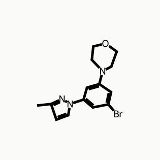 Cc1ccn(-c2cc(Br)cc(N3CCOCC3)c2)n1